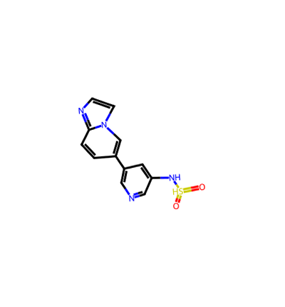 O=[SH](=O)Nc1cncc(-c2ccc3nccn3c2)c1